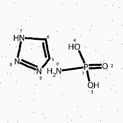 NP(=O)(O)O.c1c[nH]nn1